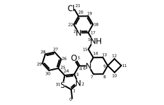 Cc1nc(C(=O)N2CCC3(CCC3)CC2CNc2ccc(Cl)cn2)c(-c2ccccc2)s1